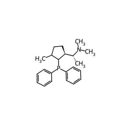 CC1CC[C@@H]([C@@H](C)N(C)C)C1P(c1ccccc1)c1ccccc1